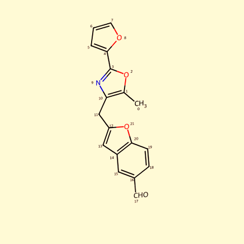 Cc1oc(-c2ccco2)nc1Cc1cc2cc(C=O)ccc2o1